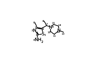 Cc1nc(N)sc1C(C)N1CCN(C)CC1